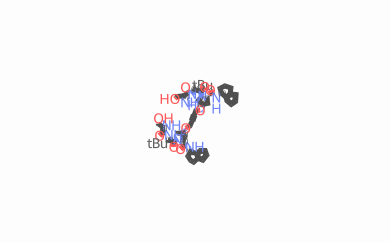 CC(C)(C)[C@H](NC(=O)[C@@H](N)CO)C(=O)N1C[C@@H](OCC#CCO[C@H]2C[C@@H](C(=O)N[C@@H]3CCCc4ccccc43)N(C(=O)[C@@H](NC(=O)[C@@H](N)CO)C(C)(C)C)C2)C[C@H]1C(=O)N[C@@H]1CCCc2ccccc21